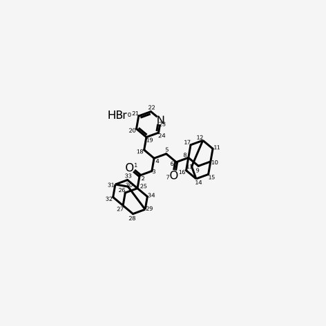 Br.O=C(CC(CC(=O)C12CC3CC(CC(C3)C1)C2)Cc1cccnc1)C12CC3CC(CC(C3)C1)C2